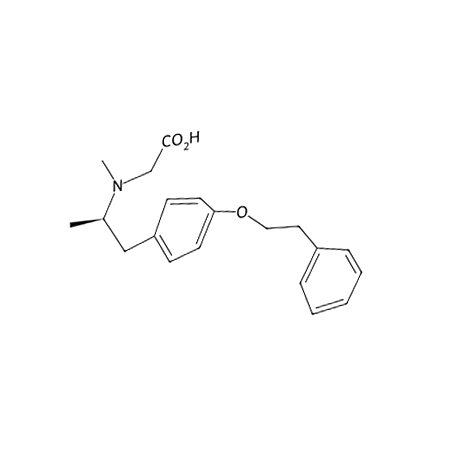 C[C@H](Cc1ccc(OCCc2ccccc2)cc1)N(C)CC(=O)O